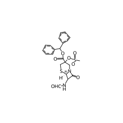 CS(=O)(=O)OC1(C(=O)OC(c2ccccc2)c2ccccc2)CS[C@@H]2C(NC=O)C(=O)N2C1